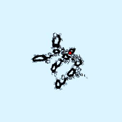 NS(=O)(=O)c1cc(NC(=O)Cc2ccccc2)ccc1OC1CCOCC1.NS(=O)(=O)c1cc(NC(=O)Cc2ccccc2Cl)ccc1OC1CCC1.NS(=O)(=O)c1cc(NC(=O)Cc2ccccc2Cl)ccc1OC1CCOCC1